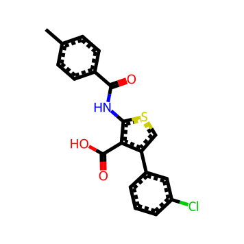 Cc1ccc(C(=O)Nc2scc(-c3cccc(Cl)c3)c2C(=O)O)cc1